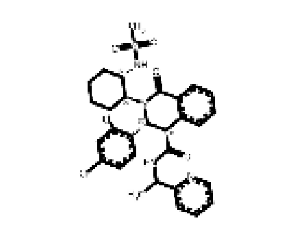 CC(NC(=O)[C@@H]1c2ccccc2C(=O)N([C@H]2CCCC[C@@H]2NS(C)(=O)=O)[C@H]1c1ccc(Cl)cc1Cl)c1ccccn1